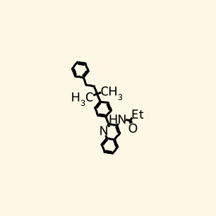 CCC(=O)Nc1cc2ccccc2nc1-c1ccc(C(C)(C)CCc2ccccc2)cc1